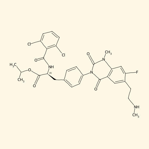 CNCCc1cc2c(=O)n(-c3ccc(C[C@H](NC(=O)c4c(Cl)cccc4Cl)C(=O)OC(C)C)cc3)c(=O)n(C)c2cc1F